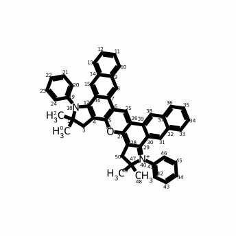 CC1(C)Cc2c3c(c4cc5ccccc5cc4c2N1c1ccccc1)C=c1c(c2c(c4cc5ccccc5cc14)=[N+](c1ccccc1)C(C)(C)C2)O3